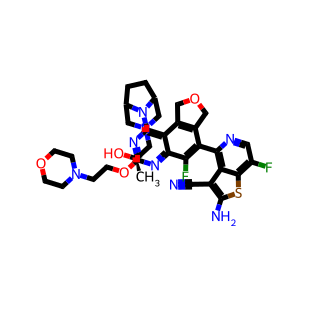 C[C@@H](O)CN1CC2CCC(C1)N2c1nc(OCCN2CCOCC2)nc2c(F)c(-c3ncc(F)c4sc(N)c(C#N)c34)c3c(c12)COC3